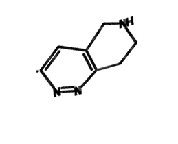 [c]1cc2c(nn1)CCNC2